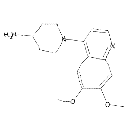 COc1cc2nccc(N3CCC(N)CC3)c2cc1OC